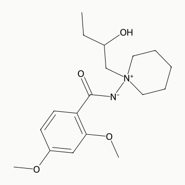 CCC(O)C[N+]1([N-]C(=O)c2ccc(OC)cc2OC)CCCCC1